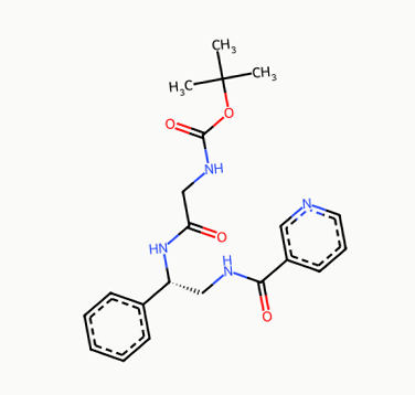 CC(C)(C)OC(=O)NCC(=O)N[C@H](CNC(=O)c1cccnc1)c1ccccc1